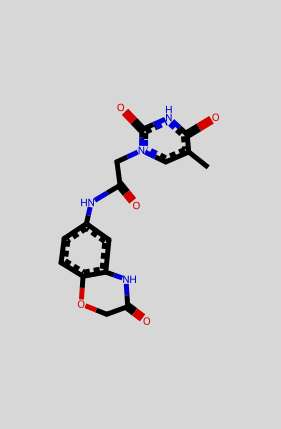 Cc1cn(CC(=O)Nc2ccc3c(c2)NC(=O)CO3)c(=O)[nH]c1=O